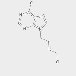 ClCC=CCn1cnc2c(Cl)ncnc21